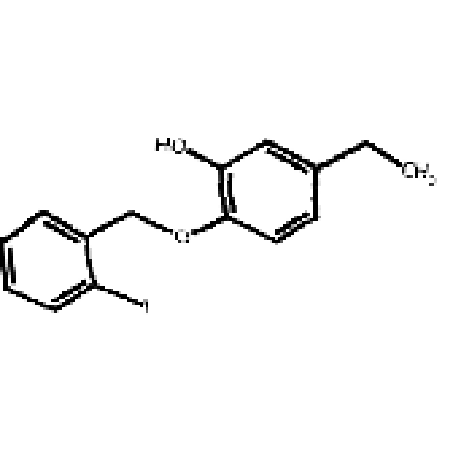 CCc1ccc(OCc2ccccc2I)c(O)c1